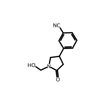 N#Cc1cccc(C2CC(=O)N(CO)C2)c1